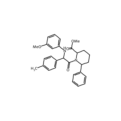 COC(=O)C1CCCC(c2ccccc2)N1C(=O)C(Nc1cccc(OC)c1)c1ccc(C)cc1